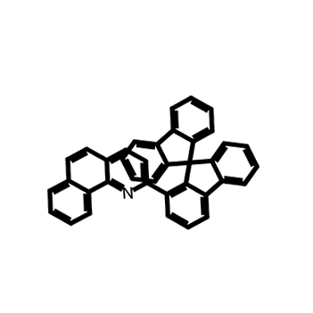 c1ccc2c(c1)-c1ccccc1C21c2ccccc2-c2cccc(-c3ccc4ccc5ccccc5c4n3)c21